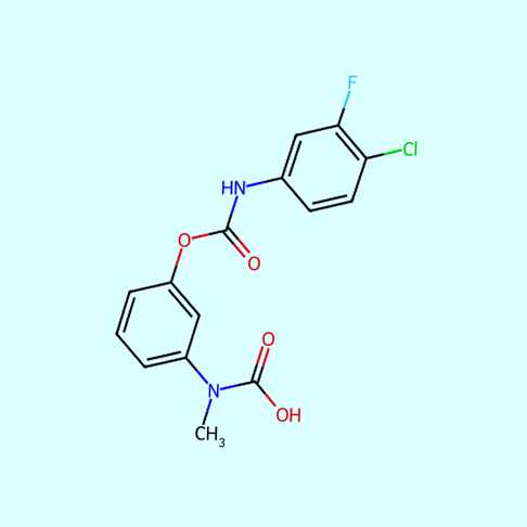 CN(C(=O)O)c1cccc(OC(=O)Nc2ccc(Cl)c(F)c2)c1